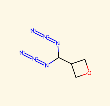 [N-]=[N+]=NC(N=[N+]=[N-])C1COC1